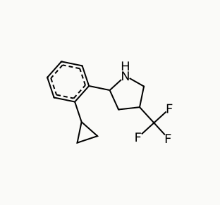 FC(F)(F)C1CNC(c2ccccc2C2CC2)C1